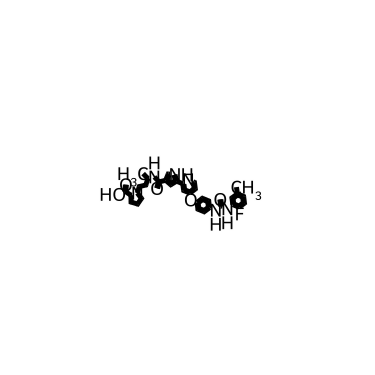 Cc1ccc(F)c(NC(=O)Nc2ccc(Oc3ccnc(-c4cc(C(=O)NC(C)CCN5CCCC5C(=O)O)c[nH]4)c3)cc2)c1